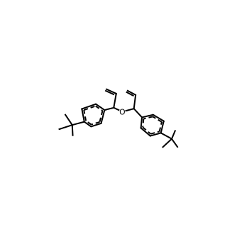 C=CC(OC(C=C)c1ccc(C(C)(C)C)cc1)c1ccc(C(C)(C)C)cc1